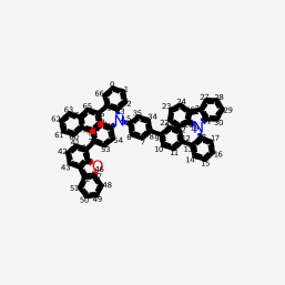 c1ccc(N(c2ccc(-c3ccc(-c4ccccc4-n4c5ccccc5c5ccccc54)cc3)cc2)c2ccc(-c3cccc4c3oc3ccccc34)cc2)c(-c2ccc3ccccc3c2)c1